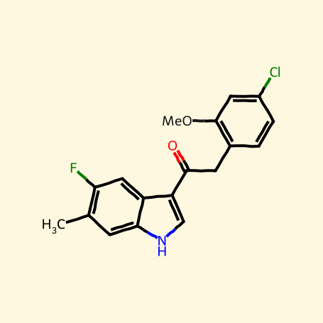 COc1cc(Cl)ccc1CC(=O)c1c[nH]c2cc(C)c(F)cc12